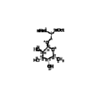 CCCCCCCCC(CCCCCC)CO[C@H]1O[C@H](C)[C@H](O)[C@H](O)[C@H]1O